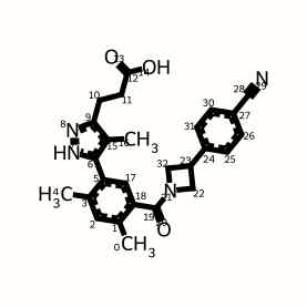 Cc1cc(C)c(-c2[nH]nc(CCC(=O)O)c2C)cc1C(=O)N1CC(c2ccc(C#N)cc2)C1